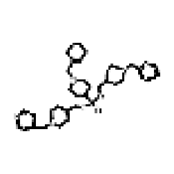 [O]C(OCC1CCN(Cc2ccncc2)CC1)(OCC1CCN(Cc2ccccn2)CC1)C1CCN(CC2CCCCC2)CC1